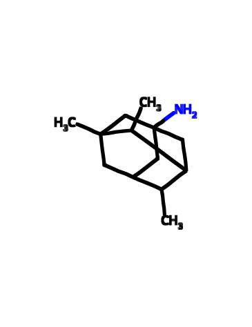 CC1C2CC3(N)CC1C(C)C(C)(C2)C3